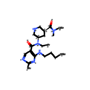 COCCCNc1nc(C(C)(C)C)ncc1C(=O)N(CC(C)C)[C@@H]1CNC[C@H](C(=O)N(C)OC)C1